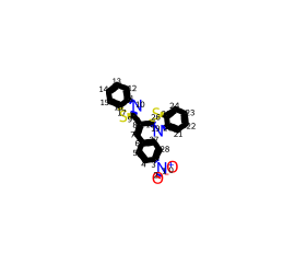 O=[N+]([O-])c1ccc(C=C(c2nc3ccccc3s2)c2nc3ccccc3s2)cc1